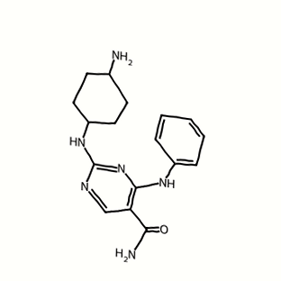 NC(=O)c1cnc(NC2CCC(N)CC2)nc1Nc1ccccc1